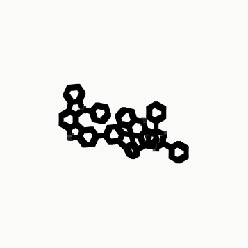 c1ccc(-c2nc(-c3ccccc3)nc(-c3cccc4c3C3(c5ccccc5Oc5ccccc53)c3ccc(-c5ccc6oc7ccc8c9ccccc9n(-c9ccccc9)c8c7c6c5)cc3-4)n2)cc1